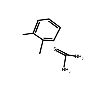 Cc1ccccc1C.NC(N)=S